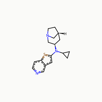 c1cc2sc(N(C3CC3)[C@@H]3C[C@H]4CCN(C4)C3)cc2cn1